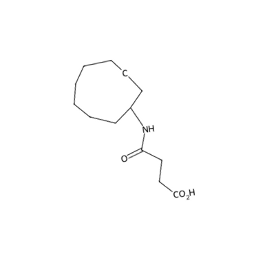 O=C(O)CCC(=O)NC1CCCCCCCC1